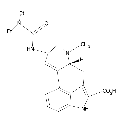 CCN(CC)C(=O)NC1C=C2c3cccc4[nH]c(C(=O)O)c(c34)C[C@H]2N(C)C1